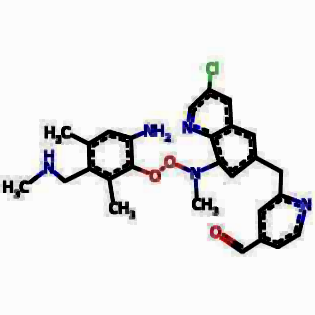 CNCc1c(C)cc(N)c(OON(C)c2cc(Cc3cc(C=O)ccn3)cc3cc(Cl)cnc23)c1C